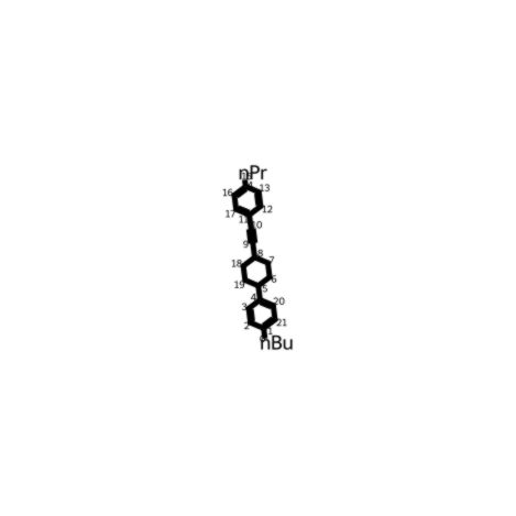 CCCCc1ccc(C2CCC(C#Cc3ccc(CCC)cc3)CC2)cc1